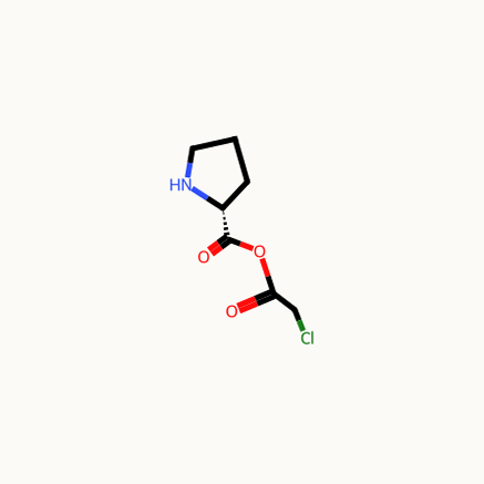 O=C(CCl)OC(=O)[C@H]1CCCN1